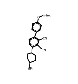 CCCCCCOc1ccc(-c2ccc([C@H]3CC[C@H](CCC)CC3)c(C#N)c2C#N)cc1